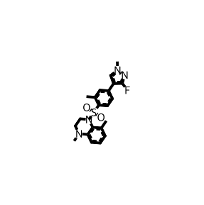 Cc1cc(-c2cn(C)nc2F)ccc1S(=O)(=O)N1CCN(C)c2cccc(C)c21